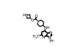 Cc1cc(NC2CCN(C(=O)OC3CNC3)CC2)c2ncn(C(C)C)c2n1